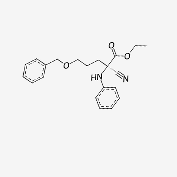 CCOC(=O)[C@](C#N)(CCCOCc1ccccc1)Nc1ccccc1